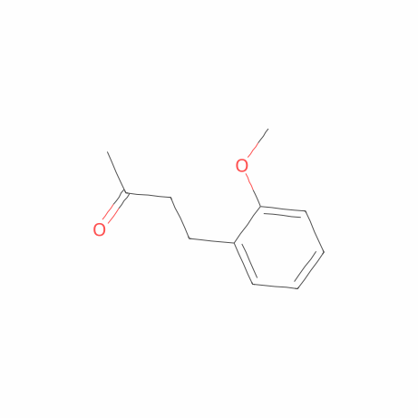 COc1ccccc1CCC(C)=O